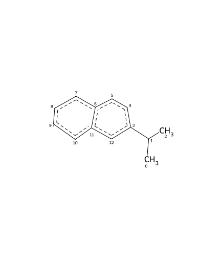 CC(C)c1ccc2cc[c]cc2c1